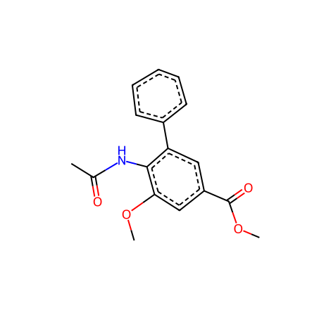 COC(=O)c1cc(OC)c(NC(C)=O)c(-c2ccccc2)c1